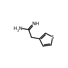 N=C(N)Cc1ccsc1